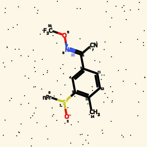 CCC[S+]([O-])c1cc(/C(C#N)=N/OC(F)(F)F)ccc1C